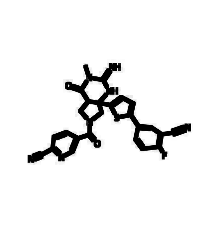 CN1C(=N)NC2(c3ccc(-c4ccc(F)c(C#N)c4)s3)CN(C(=O)c3ccc(C#N)nc3)CC2C1=O